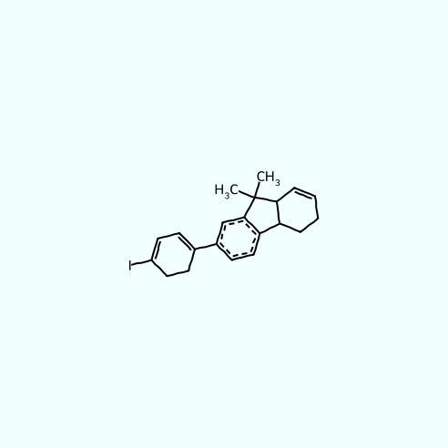 CC1(C)c2cc(C3=CC=C(I)CC3)ccc2C2CCC=CC21